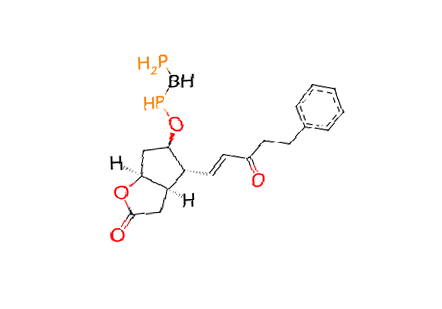 O=C(/C=C/[C@@H]1[C@H]2CC(=O)O[C@H]2C[C@H]1OPBP)CCc1ccccc1